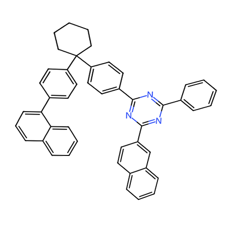 c1ccc(-c2nc(-c3ccc(C4(c5ccc(-c6cccc7ccccc67)cc5)CCCCC4)cc3)nc(-c3ccc4ccccc4c3)n2)cc1